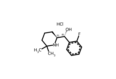 CC1(C)CCC[C@@H]([C@H](O)c2ccccc2F)N1.Cl